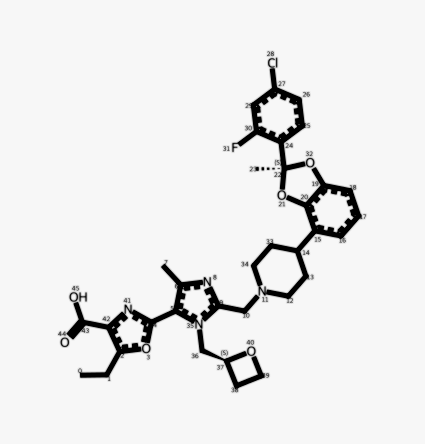 CCc1oc(-c2c(C)nc(CN3CCC(c4cccc5c4O[C@@](C)(c4ccc(Cl)cc4F)O5)CC3)n2C[C@@H]2CCO2)nc1C(=O)O